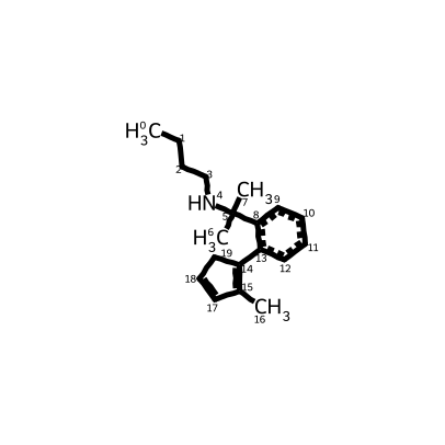 CCCCNC(C)(C)c1ccccc1C1=C(C)C=CC1